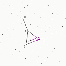 CC1C=P1